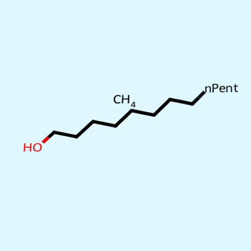 C.CCCCCCCCCCCCCO